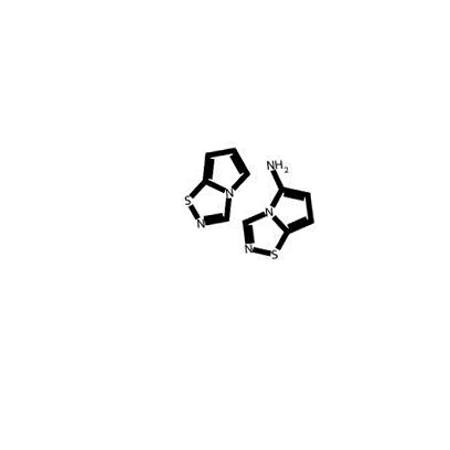 Nc1ccc2sncn12.c1cc2sncn2c1